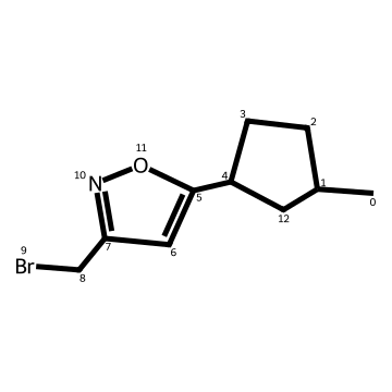 CC1CCC(c2cc(CBr)no2)C1